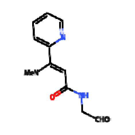 CNC(=CC(=O)NC[C]=O)c1ccccn1